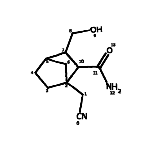 N#CCC12CCC(C1)C(CO)C2C(N)=O